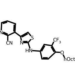 CCCCCCCCOc1ccc(Nc2nc(-c3cccnc3C#N)cs2)cc1C(F)(F)F